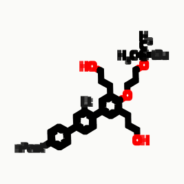 CCCCCc1ccc(-c2ccc(-c3cc(CCCO)c(OCCCO[Si](C)(C)C(C)(C)C)c(CCCO)c3)c(CC)c2)cc1